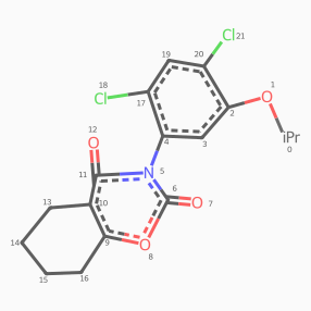 CC(C)Oc1cc(-n2c(=O)oc3c(c2=O)CCCC3)c(Cl)cc1Cl